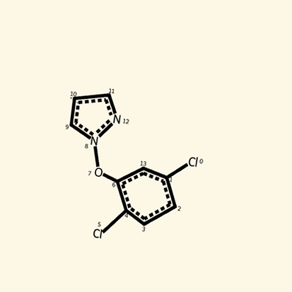 Clc1ccc(Cl)c(On2c[c]cn2)c1